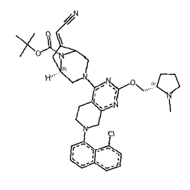 CN1CCC[C@H]1COc1nc2c(c(N3CC4C(=CC#N)C[C@H](C3)N4C(=O)OC(C)(C)C)n1)CCN(c1cccc3cccc(Cl)c13)C2